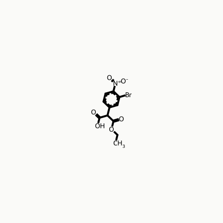 CCOC(=O)C(C(=O)O)c1ccc([N+](=O)[O-])c(Br)c1